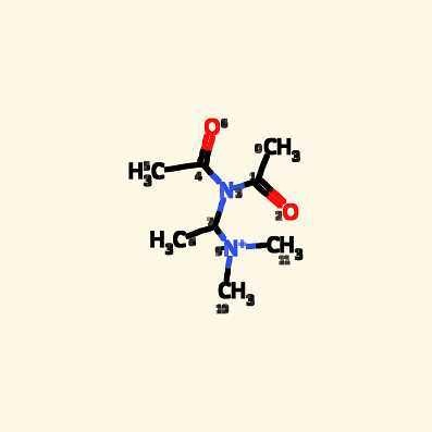 CC(=O)N(C(C)=O)C(C)[N+](C)C